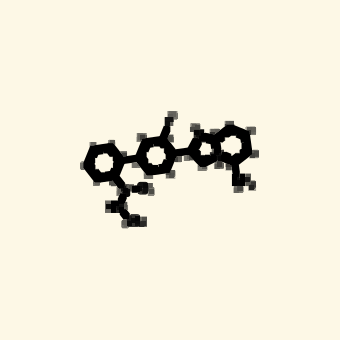 CC(C)(C)N[S+]([O-])c1ccccc1-c1ccc(-c2cn3c(N)cccc3n2)c(F)c1